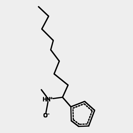 CCCCCCCCC(c1ccccc1)[NH+](C)[O-]